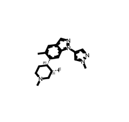 Cc1cc2cnn(-c3cnn(C)c3)c2cc1[C@H]1CCN(C)C[C@H]1F